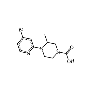 CC1CN(C(=O)O)CCN1c1cc(Br)ccn1